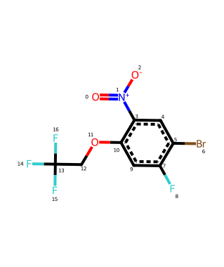 O=[N+]([O-])c1cc(Br)c(F)cc1OCC(F)(F)F